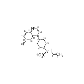 C=CC[C@@H](C(=O)O)C1CCC(c2ccnc3ccc(F)cc23)CC1